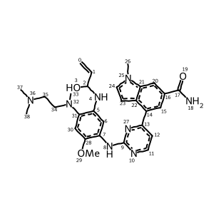 C=CC(O)Nc1cc(Nc2nccc(-c3cc(C(N)=O)cc4c3ccn4C)n2)c(OC)cc1N(C)CCN(C)C